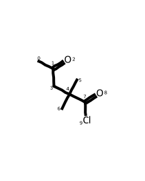 CC(=O)CC(C)(C)C(=O)Cl